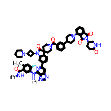 Cc1cc(F)c(Nc2nc(-c3ccc4c(c3)N([C@H]3C[C@@H](N5CCCCC5)C3)C(=O)C43CCN(C(=O)c4cccc(C5CCN(c6cccc7c6C(=O)N(C6CCC(=O)NC6)C7=O)CC5)c4)CC3)cc3ncn(C(C)C)c23)cc1C(=O)NC(C)C